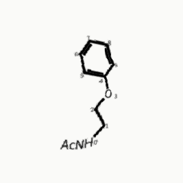 CC(=O)N[CH]COc1ccccc1